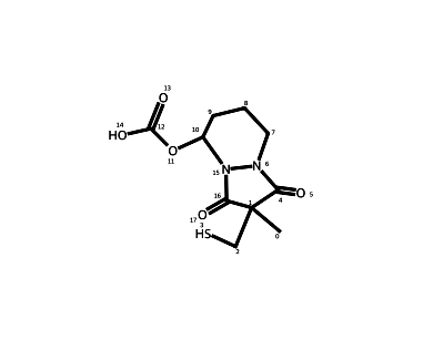 CC1(CS)C(=O)N2CCCC(OC(=O)O)N2C1=O